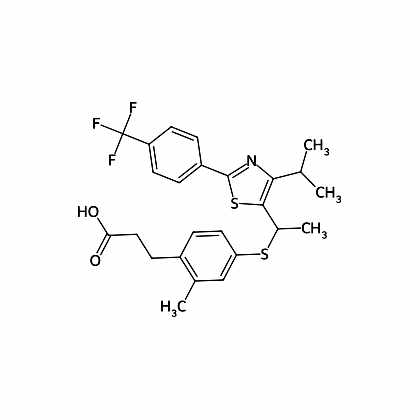 Cc1cc(SC(C)c2sc(-c3ccc(C(F)(F)F)cc3)nc2C(C)C)ccc1CCC(=O)O